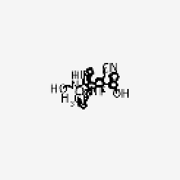 CN1CCCC1COc1nc2c(F)c(-c3cc(O)cc4ccccc34)c(CCC#N)cc2c2c1c(C(=O)NCCO)cn2C1C2CNC1C2